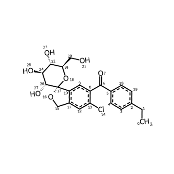 CCc1ccc(C(=O)c2cc3c(cc2Cl)CO[C@]32O[C@H](CO)[C@@H](O)[C@H](O)[C@H]2O)cc1